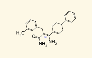 Cc1cccc(C/C(C(N)=O)=C(/N)C2=CCC(c3ccccc3)CC2)c1